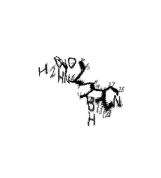 BC(=O)N/C(C=C)=C/C=C1\C(=C)Bc2cnccc21